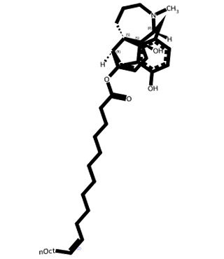 CCCCCCCC/C=C\CCCCCCCCCC(=O)OC1=CC[C@@]2(O)[C@H]3Cc4ccc(O)c5c4[C@@]2(CCCN3C)[C@H]1O5